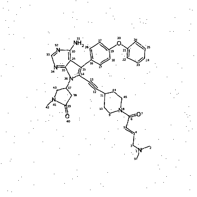 CN(C)C/C=C/C(=O)N1CCC(C#Cc2c(-c3ccc(Oc4ccccc4)cc3)c3c(N)ncnc3n2C2CC(=O)N(C)C2)CC1